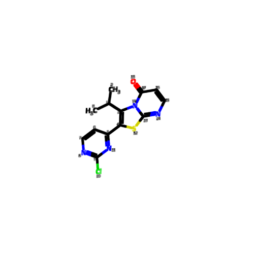 CC(C)c1c(-c2ccnc(Cl)n2)sc2nccc(=O)n12